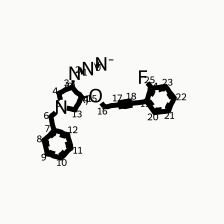 [N-]=[N+]=N[C@@H]1CN(Cc2ccccc2)C[C@H]1OCC#Cc1ccccc1F